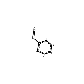 [N]=Nc1cccnc1